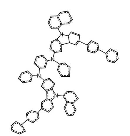 C1=CC2C(C=C1c1ccc(-c3ccccc3)cc1)c1cc(N(c3ccccc3)c3cccc(N(c4ccccc4)c4ccc5c(c4)c4cc(-c6ccc(-c7ccccc7)cc6)ccc4n5-c4cccc5ccccc45)c3)ccc1N2c1cccc2ccccc12